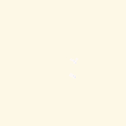 N#Cc1ccccc1-c1cscn1